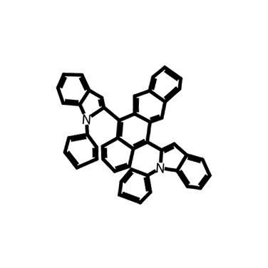 c1ccc(-n2c(-c3c4ccccc4c(-c4cc5ccccc5n4-c4ccccc4)c4cc5ccccc5cc34)cc3ccccc32)cc1